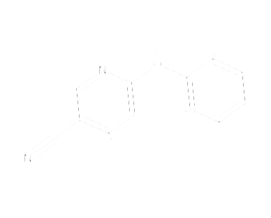 N#Cc1[c]nc(Oc2ccccc2)cc1